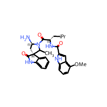 COc1cccc2[nH]c(C(=O)N[C@@H](CC(C)C)C(=O)N3C(C)[C@]4(C[C@H]3N)C(=O)Nc3ccccc34)cc12